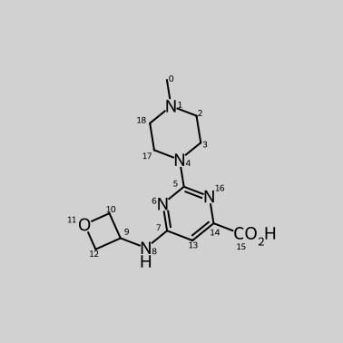 CN1CCN(c2nc(NC3COC3)cc(C(=O)O)n2)CC1